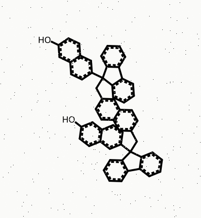 Oc1ccc2cc(C3(Cc4ccc5cc(CC6(c7ccc8cc(O)ccc8c7)c7ccccc7-c7ccccc76)ccc5c4)c4ccccc4-c4ccccc43)ccc2c1